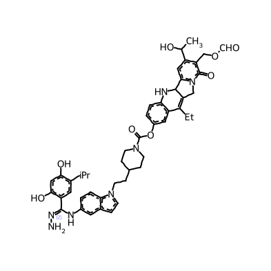 CCC1=C2Cn3c(cc(C(C)O)c(COC=O)c3=O)C2Nc2ccc(OC(=O)N3CCC(CCn4ccc5cc(N/C(=N\N)c6cc(C(C)C)c(O)cc6O)ccc54)CC3)cc21